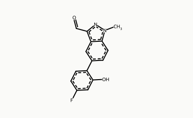 Cn1nc(C=O)c2cc(-c3ccc(F)cc3O)ccc21